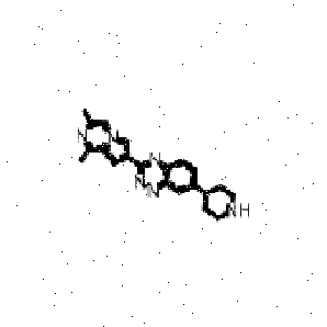 Cc1cn2cc(-c3nnc4cc(C5CCNCC5)ccc4n3)cc2c(C)n1